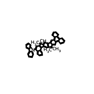 CC1(C)c2cc3c(cc2-c2cc4c5ccccc5c5ccccc5c4cc21)C(C)(C)c1cc(-n2c4ccccc4c4ccccc42)c2ccccc2c1-3